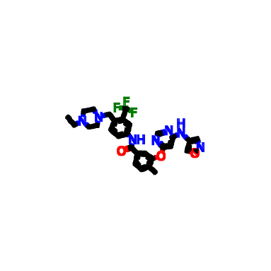 CCN1CCN(Cc2ccc(NC(=O)c3ccc(C)c(Oc4cc(Nc5cnoc5)ncn4)c3)cc2C(F)(F)F)CC1